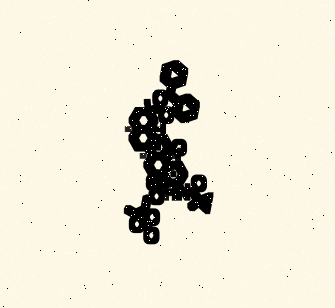 Cc1oc(=O)oc1COC(=O)[C@]1(C)[C@@H](NC(=O)C2(C)CC2)CC[C@@]2(C)[C@H]1CC[C@]1(C)[C@@H]2C(=O)C=C2[C@@H]3C[C@@](C)(C(=O)OC(c4ccccc4)c4ccccc4)CC[C@]3(C)CC[C@]21C